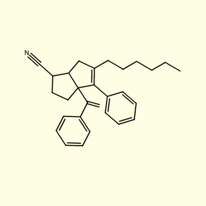 C=C(c1ccccc1)C12CCC(C#N)C1CC(CCCCCC)=C2c1ccccc1